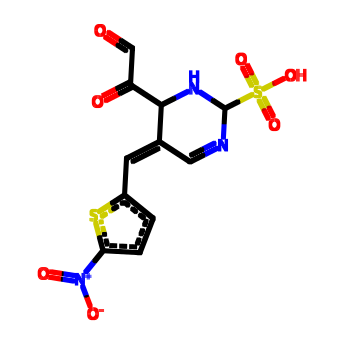 O=CC(=O)C1NC(S(=O)(=O)O)N=CC1=Cc1ccc([N+](=O)[O-])s1